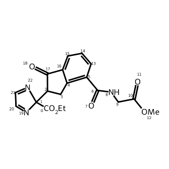 CCOC(=O)C1(C2Cc3c(C(=O)NCC(=O)OC)cccc3C2=O)N=CC=N1